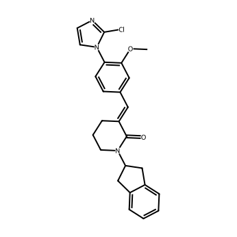 COc1cc(/C=C2\CCCN(C3Cc4ccccc4C3)C2=O)ccc1-n1ccnc1Cl